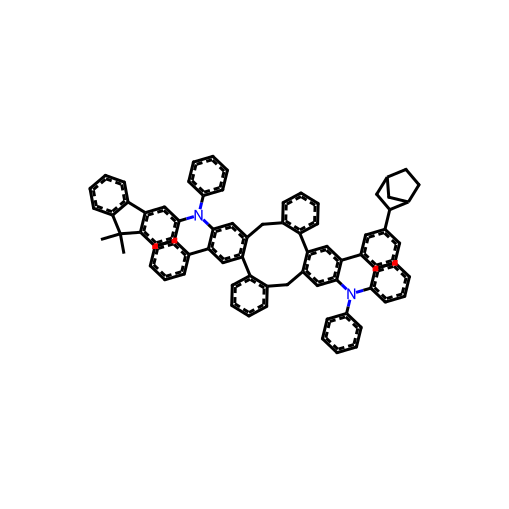 CC1(C)c2ccccc2-c2cc(N(c3ccccc3)c3cc4c(cc3-c3ccccc3)-c3ccccc3Cc3cc(N(c5ccccc5)c5ccccc5)c(-c5cccc(C6CC7CCC6C7)c5)cc3-c3ccccc3C4)ccc21